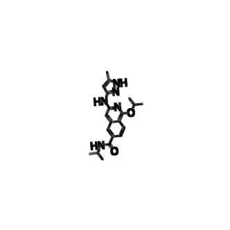 Cc1cc(Nc2cc3cc(C(=O)NC(C)C)ccc3c(OC(C)C)n2)n[nH]1